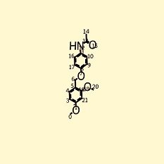 COc1ccc(COc2ccc(NC(C)=O)cc2)c(OC)c1